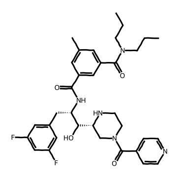 CCCN(CCC)C(=O)c1cc(C)cc(C(=O)N[C@@H](Cc2cc(F)cc(F)c2)C(O)[C@H]2CN(C(=O)c3ccncc3)CCN2)c1